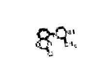 CC1CN(c2cccc3c2OC(Cl)CO3)CCN1